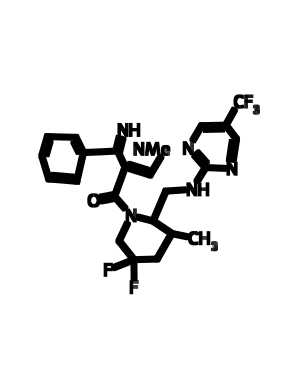 CN/C=C(\C(=N)c1ccccc1)C(=O)N1CC(F)(F)CC(C)C1CNc1ncc(C(F)(F)F)cn1